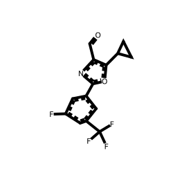 O=Cc1nc(-c2cc(F)cc(C(F)(F)F)c2)oc1C1CC1